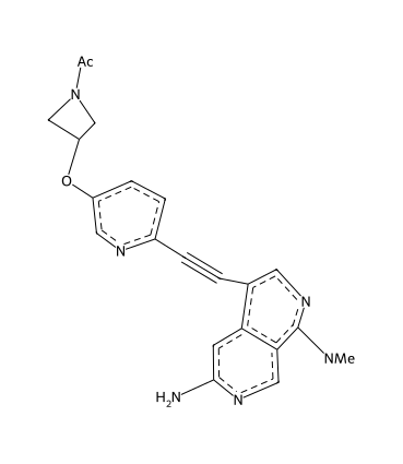 CNc1ncc(C#Cc2ccc(OC3CN(C(C)=O)C3)cn2)c2cc(N)ncc12